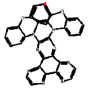 c1ccc2c(c1)Oc1ccccc1N2c1nc2c3nccnc3c3nccnc3c2nc1N1c2ccccc2Oc2ccccc21